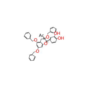 CC(=O)[C@]1(OCc2ccccc2)Cc2c(OCc3ccccc3)cc(OCc3ccccc3)cc2O[C@@H]1c1ccc(O)c(O)c1